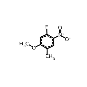 COc1cc(F)c([N+](=O)[O-])cc1C